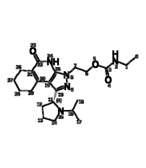 CCNC(=O)OCCn1nc([C@H]2CCCN2C(C)C)c2c3c(c(=O)[nH]c21)CCCC3